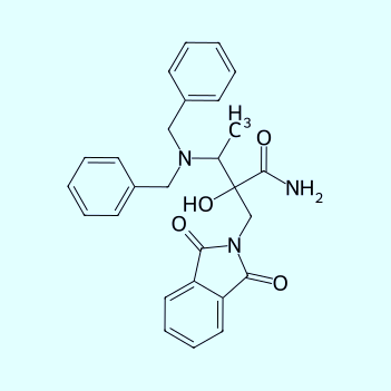 CC(N(Cc1ccccc1)Cc1ccccc1)C(O)(CN1C(=O)c2ccccc2C1=O)C(N)=O